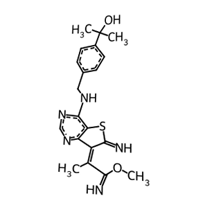 COC(=N)/C(C)=C1\C(=N)Sc2c(NCc3ccc(C(C)(C)O)cc3)ncnc21